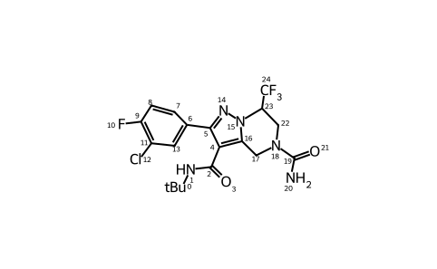 CC(C)(C)NC(=O)c1c(-c2ccc(F)c(Cl)c2)nn2c1CN(C(N)=O)CC2C(F)(F)F